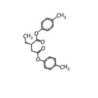 CC[C@H](CC(=O)Oc1ccc(C)cc1)C(=O)Oc1ccc(C)cc1